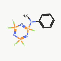 CN(c1ccccc1)P1(F)=NP(F)(F)=NP(F)(F)=N1